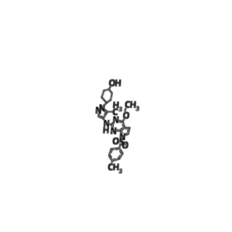 CCOc1nc(Nc2cnn(C3CCC(O)CC3)c2C)nc2c1ccn2S(=O)(=O)c1ccc(C)cc1